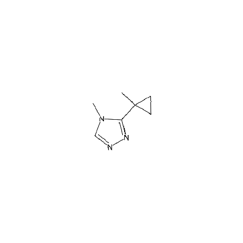 Cn1cnnc1C1(C)CC1